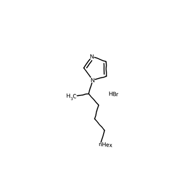 Br.CCCCCCCCCC(C)n1ccnc1